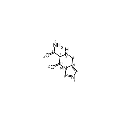 NC(=O)C1NCc2cncn2C1=O